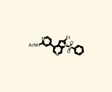 CCc1cc2c(-c3ccnc(NC(C)=O)c3)cncc2n1S(=O)(=O)c1ccccc1